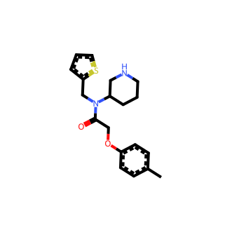 Cc1ccc(OCC(=O)N(Cc2cccs2)C2CCCNC2)cc1